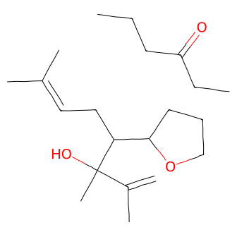 C=C(C)C(C)(O)C(CC=C(C)C)C1CCCO1.CCCC(=O)CC